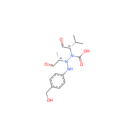 CC(C)[C@@H](C=O)N(C(=O)O)N(Nc1ccc(CO)cc1)[C@@H](C)C=O